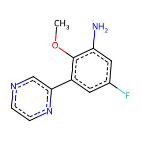 COc1c(N)cc(F)cc1-c1cnccn1